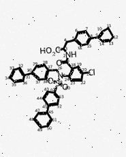 O=C(NC(Cc1ccc(C2=CCCC=C2)cc1)C(=O)O)c1cc(Cl)ccc1N(Cc1ccc(-c2ccccc2)cc1)S(=O)(=O)c1ccc(-c2ccccc2)cc1